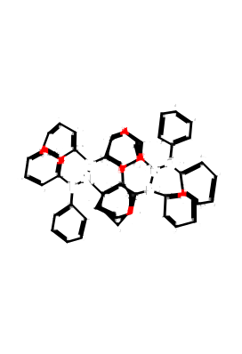 c1ccc(P(c2ccccc2)N(C2CCCCC2C2CCCCC2N(P(c2ccccc2)c2ccccc2)P(c2ccccc2)c2ccccc2)P(c2ccccc2)c2ccccc2)cc1